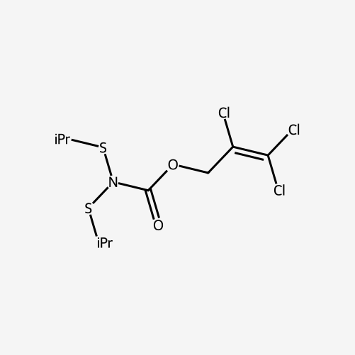 CC(C)SN(SC(C)C)C(=O)OCC(Cl)=C(Cl)Cl